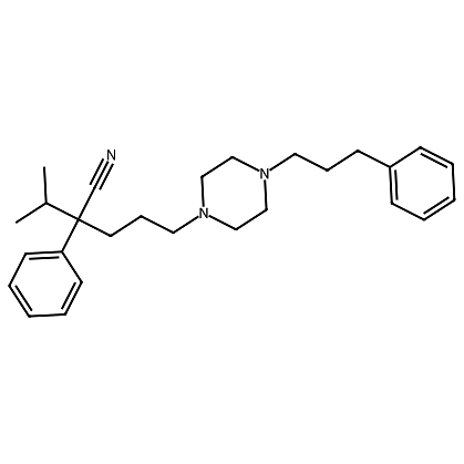 CC(C)C(C#N)(CCCN1CCN(CCCc2ccccc2)CC1)c1ccccc1